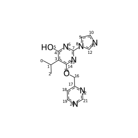 CC(C)c1c(O)nc(-n2ccnc2)nc1OCc1ccncn1